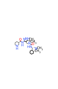 CN(C)C[C@@H](NC(=O)N1Cc2c(NC(=O)[C@@H]3CCCNC3)n[nH]c2C1(C)C)c1ccccc1